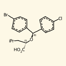 CC(C)C[C@H](O[C@H](c1ccc(Cl)cc1)c1ccc(Br)cc1)C(=O)O